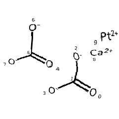 O=C([O-])[O-].O=C([O-])[O-].[Ca+2].[Pt+2]